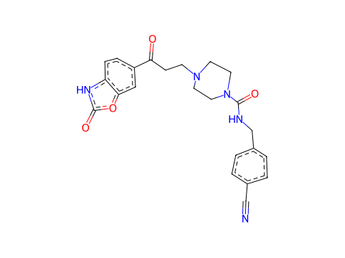 N#Cc1ccc(CNC(=O)N2CCN(CCC(=O)c3ccc4[nH]c(=O)oc4c3)CC2)cc1